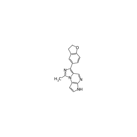 Cc1nc(-c2ccc3c(c2)CCO3)c2cnc3[nH]ccc3n12